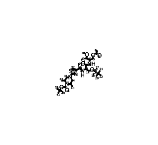 COC(=O)C(COC(C)=O)NC(=O)C(CO[Si](C)(C)C(C)(C)C)NC(=O)c1csc(N2CC(C)N(C(=O)OC(C)(C)C)C(C)C2)n1